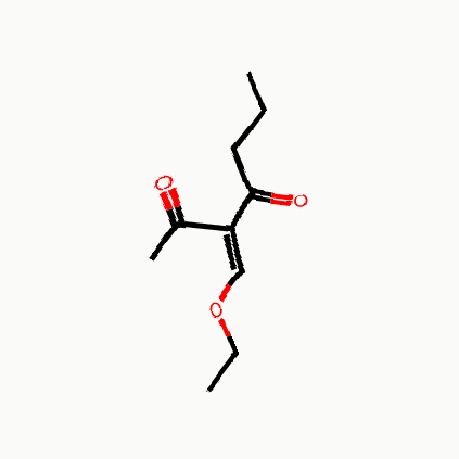 CCCC(=O)C(=COCC)C(C)=O